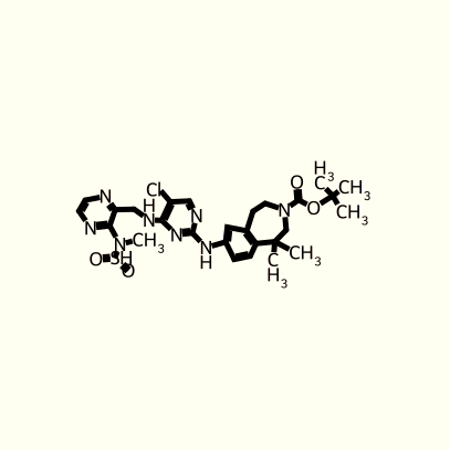 CN(c1nccnc1CNc1nc(Nc2ccc3c(c2)CCN(C(=O)OC(C)(C)C)CC3(C)C)ncc1Cl)[SH](=O)=O